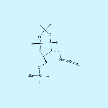 CC1(C)O[C@H]2O[C@H](CO[Si](C)(C)C(C)(C)C)[C@@H](CN=[N+]=[N-])[C@H]2O1